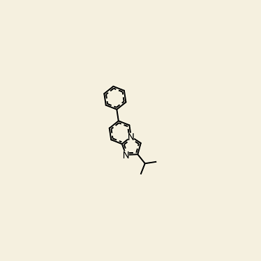 CC(C)c1cn2cc(-c3ccccc3)ccc2n1